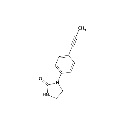 CC#Cc1ccc(N2CCNC2=O)cc1